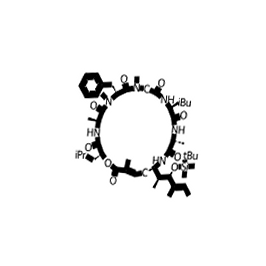 C/C=C(\C)[C@@H](O[Si](C)(C)C(C)(C)C)[C@@H](C)[C@@H]1C/C=C(\C)C(=O)O[C@H](CC(C)C)C(=O)N[C@@H](C)C(=O)N(C)[C@H](Cc2ccccc2)C(=O)N(C)CC(=O)N[C@@H](C(C)CC)C(=O)N[C@H](C)C(=O)N1